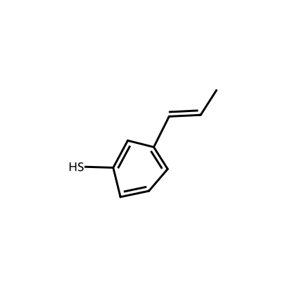 C/C=C/c1cccc(S)c1